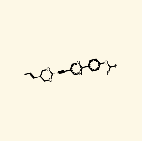 CC=C[C@H]1CO[C@H](C#Cc2cnc(-c3ccc(OC(F)F)cc3)nc2)OC1